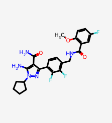 COc1ccc(F)cc1C(=O)NCc1ccc(-c2nn(C3CCCC3)c(N)c2C(N)=O)c(F)c1F